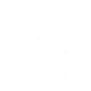 CCOC(=O)c1cc(-c2csc(-c3cccnc3)n2)c(=O)[nH]c1C